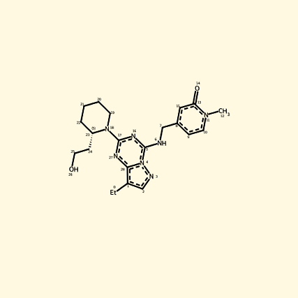 CCc1cnn2c(NCc3ccn(C)c(=O)c3)nc(N3CCCC[C@H]3CCO)nc12